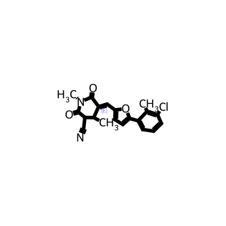 Cc1c(Cl)cccc1-c1ccc(/C=C2/C(=O)N(C)C(=O)C(C#N)C2C)o1